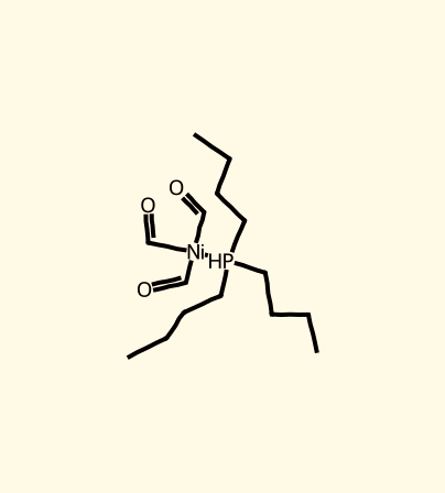 CCCC[PH](CCCC)(CCCC)[Ni]([CH]=O)([CH]=O)[CH]=O